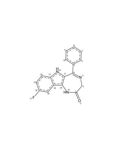 O=C1CN=C(c2ccccc2)c2[nH]c3ccc(F)cc3c2N1